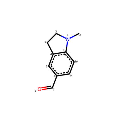 CN1CCc2cc(C=O)ccc21